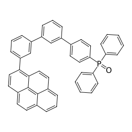 O=P(c1ccccc1)(c1ccccc1)c1ccc(-c2cccc(-c3cccc(-c4ccc5ccc6cccc7ccc4c5c67)c3)c2)cc1